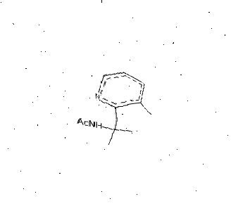 CC(=O)NC(C)(C)c1ncccc1C